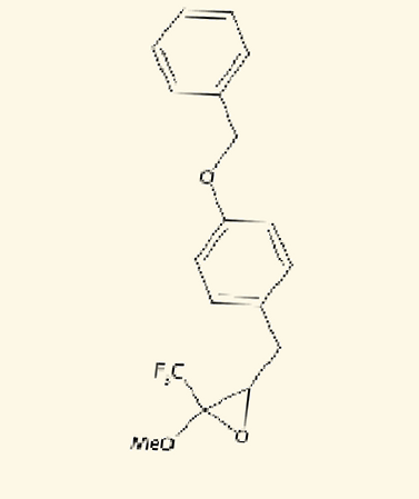 COC1(C(F)(F)F)OC1Cc1ccc(OCc2ccccc2)cc1